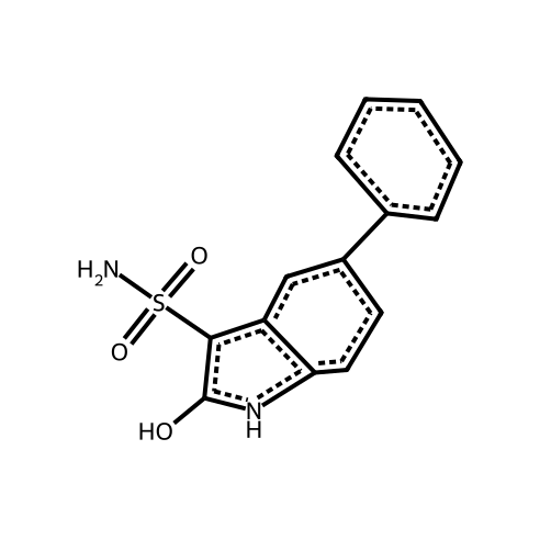 NS(=O)(=O)c1c(O)[nH]c2ccc(-c3ccccc3)cc12